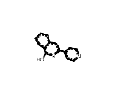 Oc1nc(-c2ccncc2)cc2ccccc12